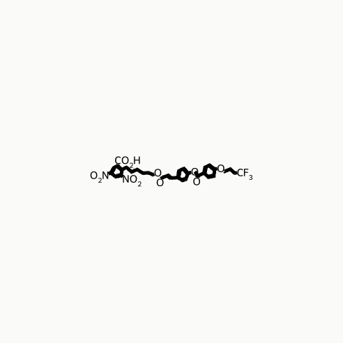 O=C(/C=C/c1ccc(OC(=O)c2ccc(OCCCC(F)(F)F)cc2)cc1)OCCCCCCc1c(C(=O)O)cc([N+](=O)[O-])cc1[N+](=O)[O-]